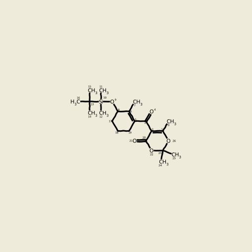 CC1=C(C(=O)C2=C(C)C(O[Si](C)(C)C(C)(C)C)CCC2)C(=O)OC(C)(C)O1